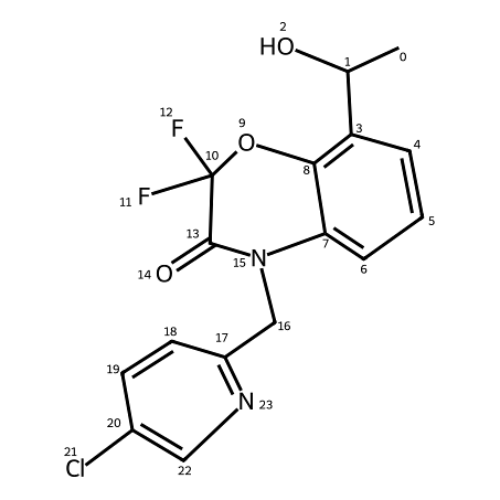 CC(O)c1cccc2c1OC(F)(F)C(=O)N2Cc1ccc(Cl)cn1